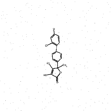 CC1(c2ccc(-c3ccc(Cl)cc3Cl)cc2)OC(=O)C(O)=C1O